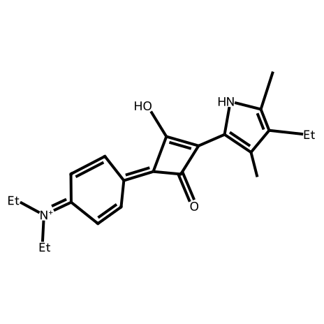 CCc1c(C)[nH]c(C2=C(O)C(=C3C=CC(=[N+](CC)CC)C=C3)C2=O)c1C